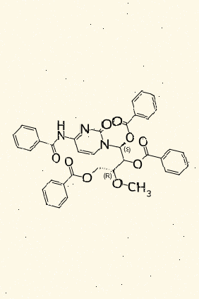 CO[C@H](COC(=O)c1ccccc1)C(OC(=O)c1ccccc1)[C@H](OC(=O)c1ccccc1)n1ccc(NC(=O)c2ccccc2)nc1=O